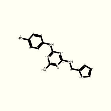 Oc1ccc(Nc2nc(O)nc(NCc3ccco3)n2)cc1